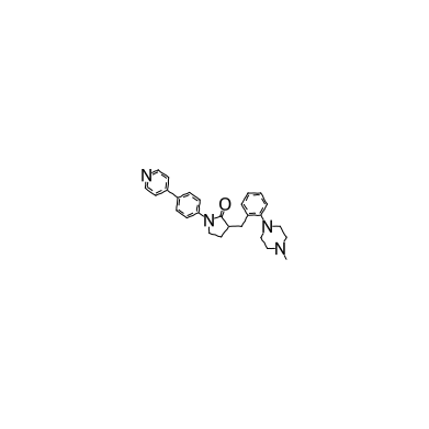 CN1CCN(c2ccccc2CC2CCN(c3ccc(-c4ccncc4)cc3)C2=O)CC1